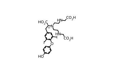 O=C(O)CNCCN(CCNCC(=O)O)[C@@H](Cc1cc(I)c(Oc2ccc(O)cc2)c(I)c1)C(=O)O